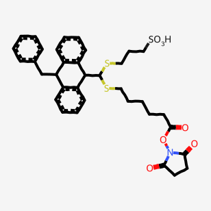 O=C(CCCCCSC(SCCCS(=O)(=O)O)C1c2ccccc2C(Cc2ccccc2)c2ccccc21)ON1C(=O)CCC1=O